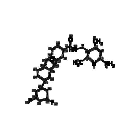 Cc1cc(N)nc(C)c1CNC(=O)c1ccc2c(c1)c1oc2c2ccc(-c3cc(F)cc(F)c3)cc21